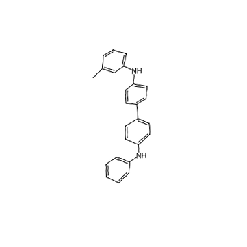 Cc1cccc(Nc2ccc(-c3ccc(Nc4ccccc4)cc3)cc2)c1